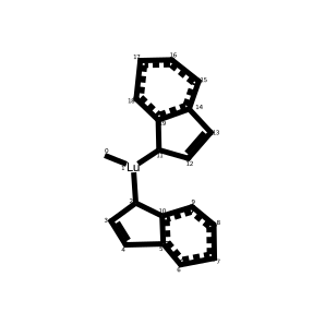 [CH3][Lu]([CH]1C=Cc2ccccc21)[CH]1C=Cc2ccccc21